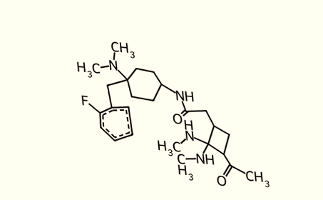 CNC1(NC)C(CC(=O)NC2CCC(Cc3ccccc3F)(N(C)C)CC2)CC1C(C)=O